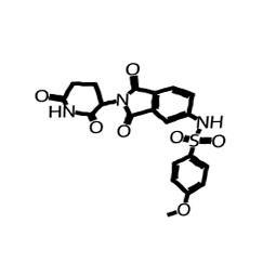 COc1ccc(S(=O)(=O)Nc2ccc3c(c2)C(=O)N(C2CCC(=O)NC2=O)C3=O)cc1